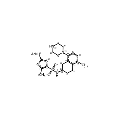 CC(=O)Nc1nc(C)c(S(=O)(=O)N[C@@H]2CCc3c(C)ccc(N4CCNCC4)c3C2)s1